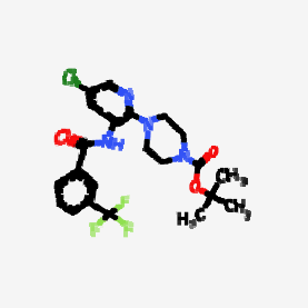 CC(C)(C)OC(=O)N1CCN(c2ncc(Cl)cc2NC(=O)c2cccc(C(F)(F)F)c2)CC1